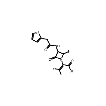 CC(C)=C(C(=O)O)N1C(=O)C(NC(=O)Cc2cccs2)C1F